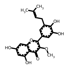 COc1c(-c2cc(O)c(O)c(CC=C(C)C)c2)oc2cc(O)cc(O)c2c1=O